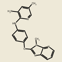 Cc1cnc(Nc2ccc(Oc3nc4cccnc4n3C)cc2)c(N)c1